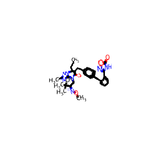 CCCc1c(Cc2ccc(-c3ccccc3-c3noc(=O)[nH]3)cc2)c(=O)n(C/C(=N\OC)C(C)(C)C)c2nc(C)nn12